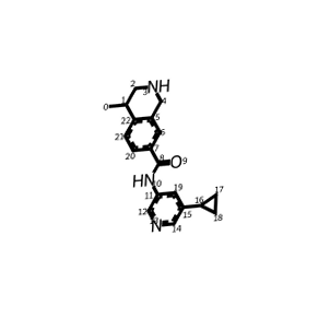 CC1CNCc2cc(C(=O)Nc3cncc(C4CC4)c3)ccc21